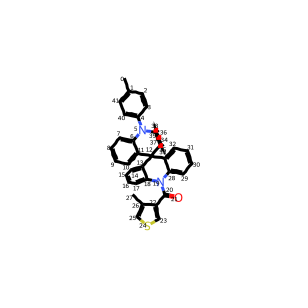 Cc1ccc(N2c3ccccc3C3(c4ccccc4N(C(=O)c4cscc4C)c4ccccc43)c3ccccc32)cc1